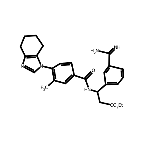 CCOC(=O)CC(NC(=O)c1ccc(-n2cnc3c2CCCC3)c(C(F)(F)F)c1)c1cccc(C(=N)N)c1